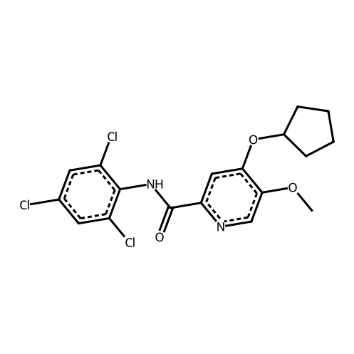 COc1cnc(C(=O)Nc2c(Cl)cc(Cl)cc2Cl)cc1OC1CCCC1